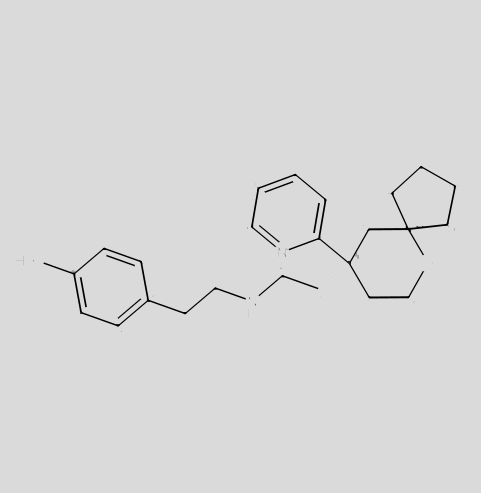 Cc1ccc(CCNCC[C@@]2(c3ccccn3)CCOC3(CCCC3)C2)cc1